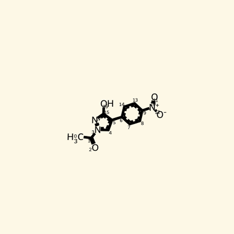 CC(=O)n1cc(-c2ccc([N+](=O)[O-])cc2)c(O)n1